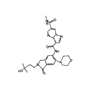 CNC(=O)c1cnc2c(C(=O)Nc3cc4c(cc3N3CCOCC3)C(=O)N(CCC(C)(C)O)C4)cnn2c1